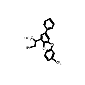 CC(C)CC(C(=O)O)c1cc(-c2ccccc2)cc(Oc2cccc(C(F)(F)F)c2)c1C(F)(F)F